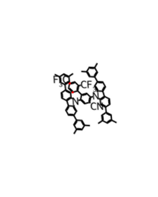 Cc1cc(C)cc(-c2ccc3c4ccc(-c5cc(C)cc(C)c5)cc4n(-c4cc(-c5ccc(C(F)(F)F)cc5C(F)(F)F)c(-n5c6cc(-c7cc(C)cc(C)c7)ccc6c6ccc(-c7cc(C)cc(C)c7)cc65)cc4C#N)c3c2)c1